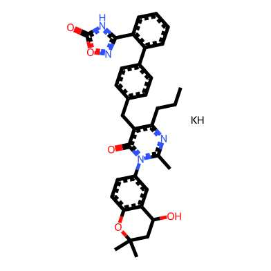 CCCc1nc(C)n(-c2ccc3c(c2)C(O)CC(C)(C)O3)c(=O)c1Cc1ccc(-c2ccccc2-c2noc(=O)[nH]2)cc1.[KH]